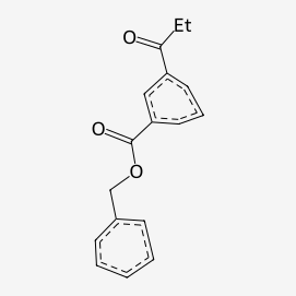 CCC(=O)c1cccc(C(=O)OCc2ccccc2)c1